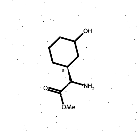 COC(=O)C(N)[C@H]1CCCC(O)C1